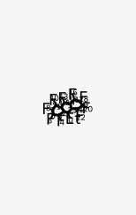 CCc1c2c(F)c(F)c(F)c(F)c2c(F)c2c(F)c(F)c(F)c(F)c12